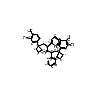 O=C(C(CC1(c2ccc(Cl)c(Cl)c2)CCC1)c1ccccn1)C(CC1(c2ccc(Cl)c(Cl)c2)CCC1)c1ccccn1